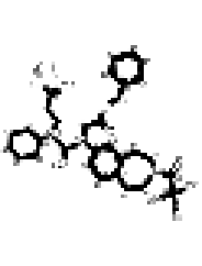 COC(=O)CCN(C(=O)N(CC(=O)OCc1ccccc1)c1ccc2c(c1)CCN(C(=O)C(F)(F)F)CC2)C1CCCCC1